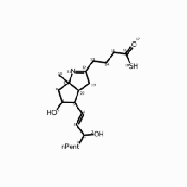 CCCCCC(O)/C=C/C1C(O)CC2(C)N=C(CCCC(=O)S)CC12